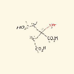 O=C(O)[13CH2]C(O)([13CH2]C(=O)O)C(=O)O